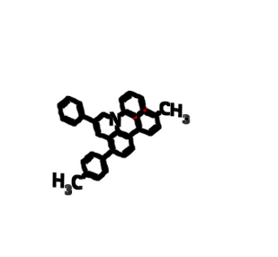 Cc1ccc(-c2ccc(-c3ccc(C)cc3)c3c2C=C(c2ccccc2)CN3c2ccccc2)cc1